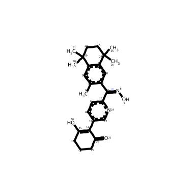 Cc1cc2c(cc1/C(=N/O)c1ccc(C3=C(O)CCCC3=O)cn1)C(C)(C)CCC2(C)C